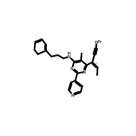 C/C=C(/C#CCCC)c1nc(-c2ccncc2)nc(NCCCC2=CC=CCC2)c1C